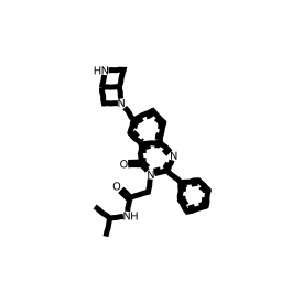 CC(C)NC(=O)Cn1c(-c2ccccc2)nc2ccc(N3CC4NCC43)cc2c1=O